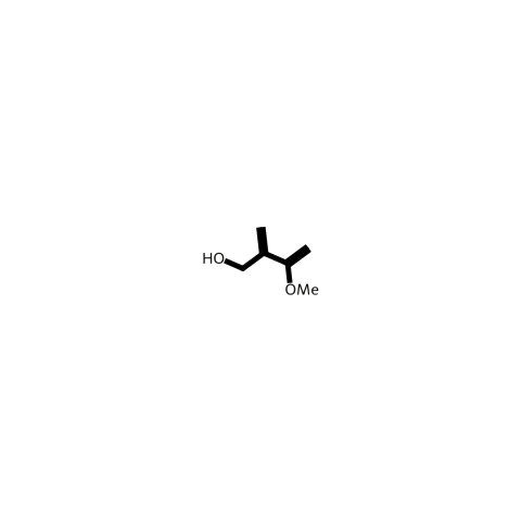 C=C(CO)C(=C)OC